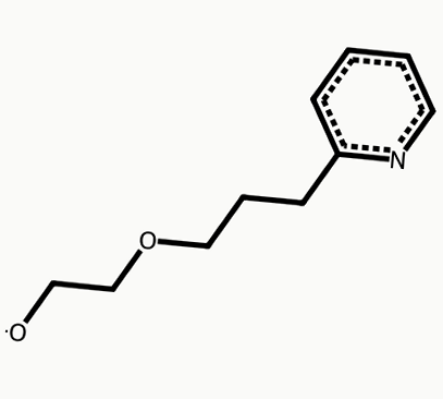 [O]CCOCCCc1ccccn1